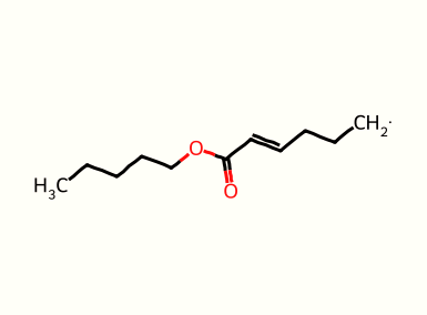 [CH2]CCC=CC(=O)OCCCCC